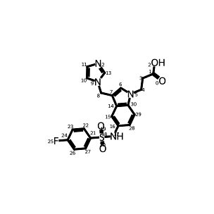 O=C(O)CCn1cc(Cn2ccnc2)c2cc(NS(=O)(=O)c3ccc(F)cc3)ccc21